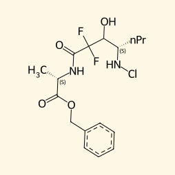 CCC[C@H](NCl)C(O)C(F)(F)C(=O)N[C@@H](C)C(=O)OCc1ccccc1